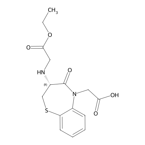 CCOC(=O)CN[C@H]1CSc2ccccc2N(CC(=O)O)C1=O